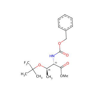 COC(=O)[C@@H](NC(=O)OCc1ccccc1)[C@@H](C)OC(C)(C)C(F)(F)F